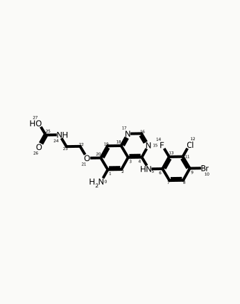 Nc1cc2c(Nc3ccc(Br)c(Cl)c3F)ncnc2cc1OCCNC(=O)O